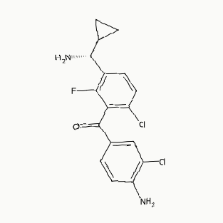 Nc1ccc(C(=O)c2c(Cl)ccc([C@H](N)C3CC3)c2F)cc1Cl